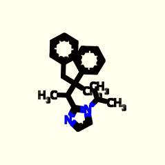 CC(C)n1ccnc1C(C)C(C)(Cc1ccccc1)c1ccccc1